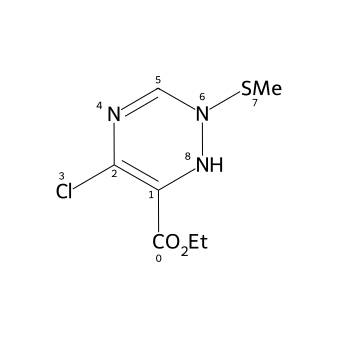 CCOC(=O)C1=C(Cl)N=CN(SC)N1